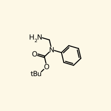 CC(C)(C)OC(=O)N(CN)c1ccccc1